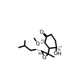 CO[C@@H]1C(=O)CC[C@@](C)(O)C1C1(C)O[C@@H]1CCC(C)C